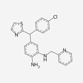 Nc1ccc(C(c2ccc(Cl)cc2)c2nccs2)cc1NCc1ccccn1